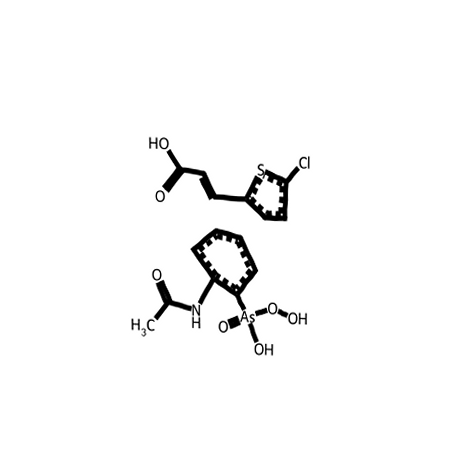 CC(=O)Nc1ccccc1[As](=O)(O)OO.O=C(O)C=Cc1ccc(Cl)s1